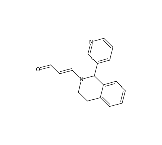 O=CC=CN1CCc2ccccc2C1c1cccnc1